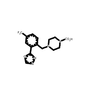 O=C(O)N1CCN(Cc2ccc(C(F)(F)F)cc2-c2nnco2)CC1